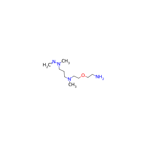 C=NN(C)CCCN(C)CCOCCN